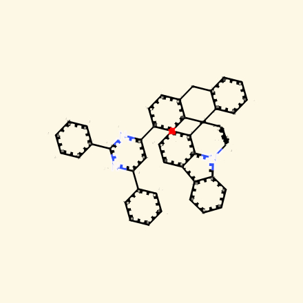 c1ccc(-c2cc(-c3ccc4c(c3)C3(c5ccccc5C4)c4ccccc4-n4c5ccccc5c5cccc3c54)nc(-c3ccccc3)n2)cc1